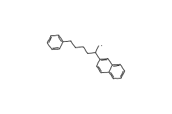 [CH2]C(CCCCc1ccccc1)c1ccc2ccccc2c1